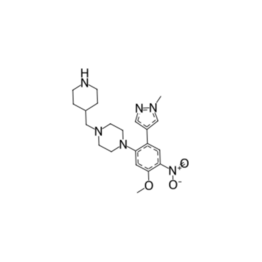 COc1cc(N2CCN(CC3CCNCC3)CC2)c(-c2cnn(C)c2)cc1[N+](=O)[O-]